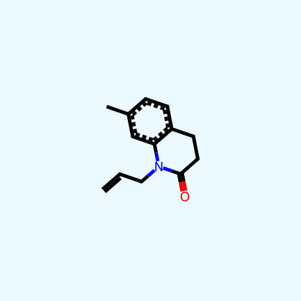 C=CCN1C(=O)CCc2ccc(C)cc21